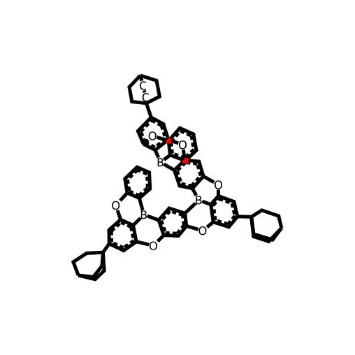 c1ccc2c(c1)Oc1cc(C34CCC(CC3)CC4)cc3c1B2c1cc2c(cc1O3)Oc1cc(C34CCC(CC3)CC4)cc3c1B2c1cc2c(cc1O3)Oc1cc(C34CCC(CC3)CC4)cc3c1B2c1ccccc1O3